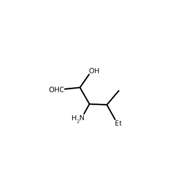 CCC(C)C(N)C(O)C=O